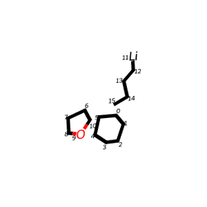 C1CCCCC1.C1CCOC1.[Li][CH2]CCC